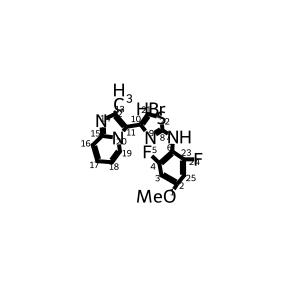 Br.COc1cc(F)c(Nc2nc(-c3c(C)nc4ccccn34)cs2)c(F)c1